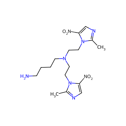 Cc1ncc([N+](=O)[O-])n1CCN(CCCCN)CCn1c([N+](=O)[O-])cnc1C